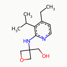 CCc1ccnc(NC2(CO)COC2)c1C(C)C